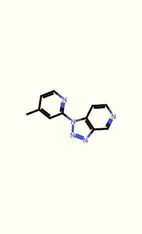 Cc1ccnc(-n2nnc3cnccc32)c1